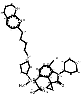 CN([C@H]1CC[C@H](OCCCCc2ccc3c(n2)NCCC3)C1)[C@@H](C(=O)O)c1ccc(F)c2c1C1(CC1)C(=O)N2C1CCOCC1